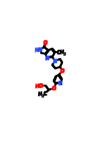 Cc1cc2c(nc1N1CCC(Oc3ccc(OC(C)CO)nc3)CC1)CNC2=O